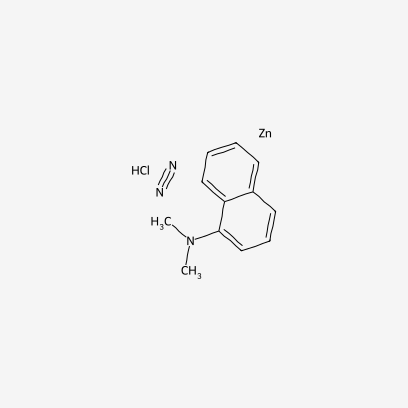 CN(C)c1cccc2ccccc12.Cl.N#N.[Zn]